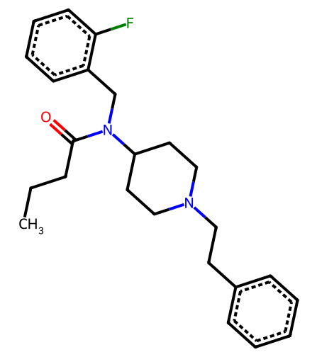 CCCC(=O)N(Cc1ccccc1F)C1CCN(CCc2ccccc2)CC1